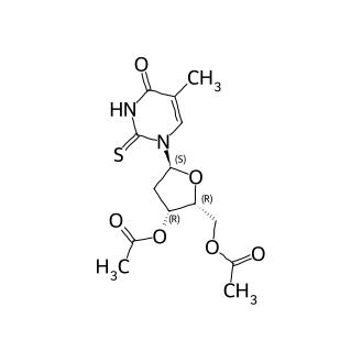 CC(=O)OC[C@H]1O[C@H](n2cc(C)c(=O)[nH]c2=S)C[C@H]1OC(C)=O